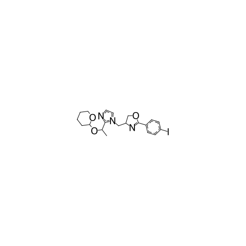 CC(OC1CCCCO1)c1nccn1CC1COC(c2ccc(I)cc2)=N1